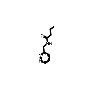 CCCC(=O)NCc1cccnn1